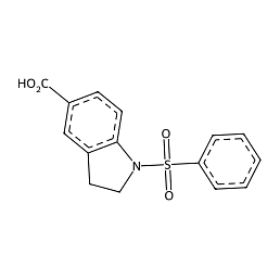 O=C(O)c1ccc2c(c1)CCN2S(=O)(=O)c1ccccc1